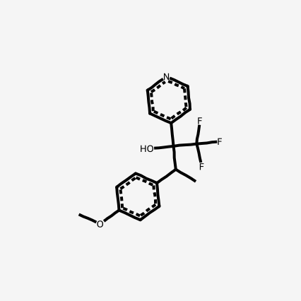 COc1ccc(C(C)C(O)(c2ccncc2)C(F)(F)F)cc1